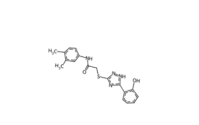 Cc1ccc(NC(=O)CSc2n[nH]c(-c3ccccc3O)n2)cc1C